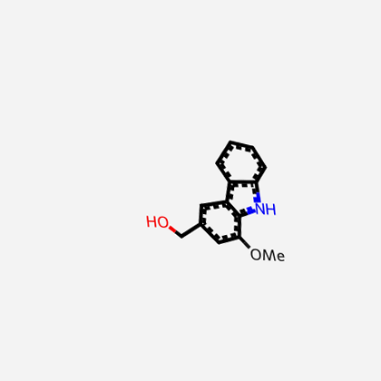 COc1cc(CO)cc2c1[nH]c1ccccc12